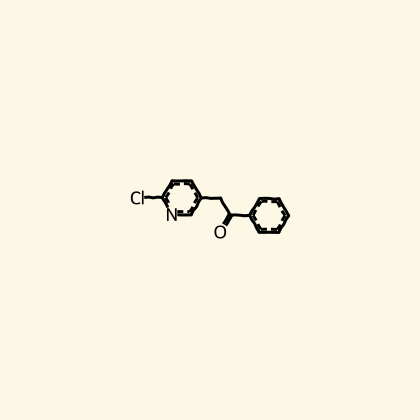 O=C(Cc1ccc(Cl)nc1)c1ccccc1